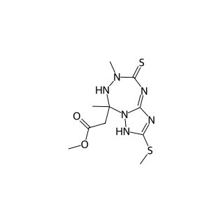 COC(=O)CC1(C)NN(C)C(=S)N=C2N=C(SC)NN21